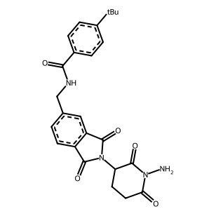 CC(C)(C)c1ccc(C(=O)NCc2ccc3c(c2)C(=O)N(C2CCC(=O)N(N)C2=O)C3=O)cc1